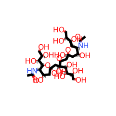 CC(=O)N[C@H]1[C@H]([C@H](O)[C@H](O)CO)O[C@](O)(C[C@](O)(C(=O)C[C@]2(O)C[C@H](O)[C@@H](NC(C)=O)[C@H]([C@H](O)[C@H](O)CO)O2)[C@@H](O)[C@@H](O)[C@H](O)CO)C[C@@H]1O